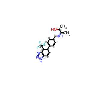 C=C(NCc1ccc(-c2ccc3[nH]nnc3c2C(F)(F)F)cc1)[C@H](C)O